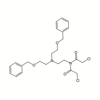 O=C(CCl)N(CCN(CCOCc1ccccc1)CCOCc1ccccc1)C(=O)CCl